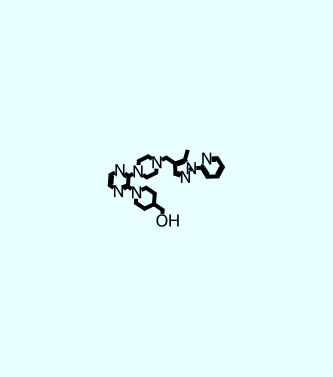 Cc1c(CN2CCN(c3nccnc3N3CCC(CO)CC3)CC2)cnn1-c1ccccn1